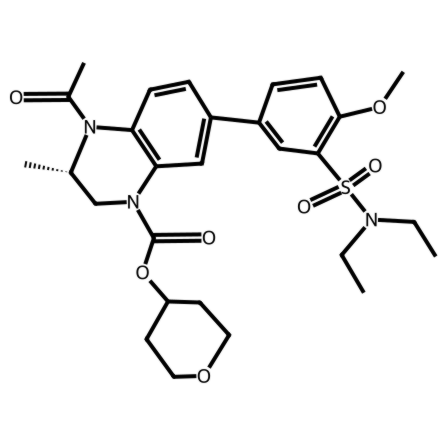 CCN(CC)S(=O)(=O)c1cc(-c2ccc3c(c2)N(C(=O)OC2CCOCC2)C[C@H](C)N3C(C)=O)ccc1OC